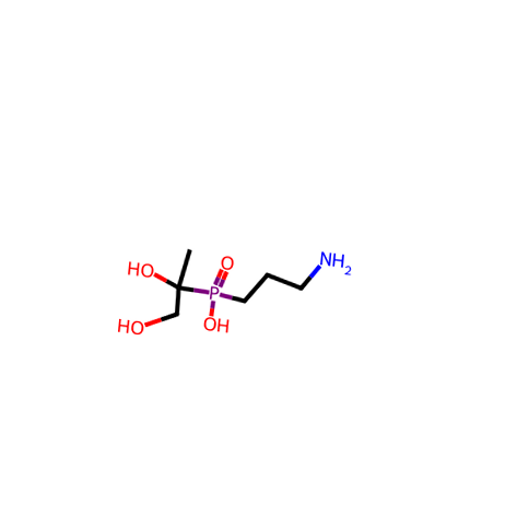 CC(O)(CO)P(=O)(O)CCCN